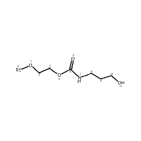 [CH2]COCCOC(=O)NCCCO